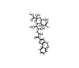 COC(=O)[C@@]1(O)C[C@@H](O)C(NC(C)=O)C(C(O)C(O)CNC(=O)c2cc3c(s2)-c2ccccc2OC3)O1